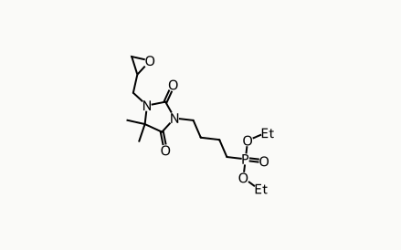 CCOP(=O)(CCCCN1C(=O)N(CC2CO2)C(C)(C)C1=O)OCC